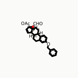 CC(=O)O[C@]12C=C[C@]3(C[C@H]1C=O)[C@@H]1CCc4cc(OCc5ccccc5)ccc4[C@H]1CC[C@@]32C